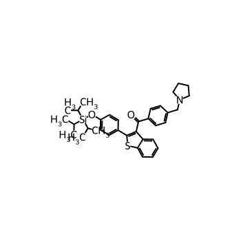 CC(C)[Si](Oc1ccc(-c2sc3ccccc3c2C(=O)c2ccc(CN3CCCC3)cc2)cc1)(C(C)C)C(C)C